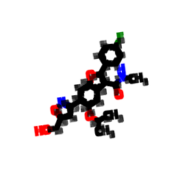 CNC(=O)c1c(-c2ccc(F)cc2)oc2cc(-c3cc(CO)on3)c(OC(C)C)cc12